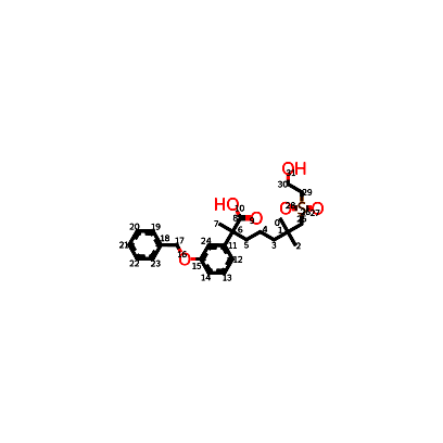 CC(C)(CCCC(C)(C(=O)O)c1cccc(OCc2ccccc2)c1)CS(=O)(=O)CCO